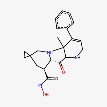 CC1(C)C(c2ccccc2)=CCNC1C(=O)[C@H]1NCC2(CC2)C[C@@H]1C(=O)NO